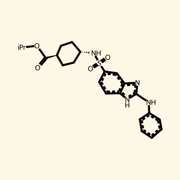 CC(C)OC(=O)[C@H]1CC[C@H](NS(=O)(=O)c2ccc3[nH]c(Nc4ccccc4)nc3c2)CC1